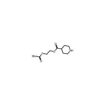 CC(C)(C)C(=O)OCCOC(=O)C1CCNCC1